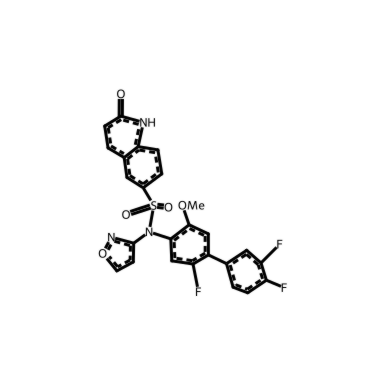 COc1cc(-c2ccc(F)c(F)c2)c(F)cc1N(c1ccon1)S(=O)(=O)c1ccc2[nH]c(=O)ccc2c1